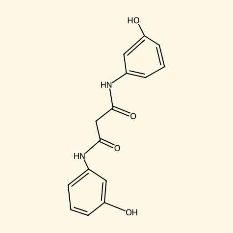 O=C(CC(=O)Nc1cccc(O)c1)Nc1cccc(O)c1